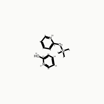 C[Si](C)(C)Oc1ccccn1.Oc1ccccn1